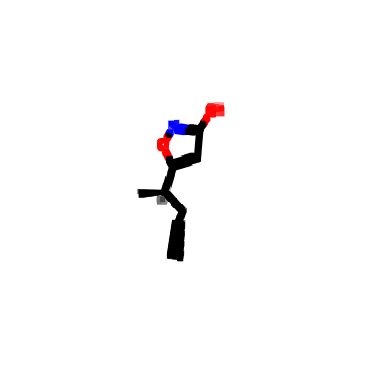 C#CC[C@@H](C)c1cc(O)no1